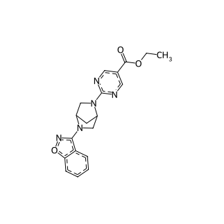 CCOC(=O)c1cnc(N2CC3CC2CN3c2noc3ccccc23)nc1